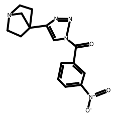 O=C(c1cccc([N+](=O)[O-])c1)n1cc(C23CCN(CC2)C3)nn1